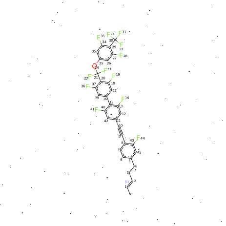 C/C=C/CCc1ccc(C#Cc2cc(F)c(-c3cc(F)c(C(F)(F)Oc4cc(F)c(C(F)(F)F)c(F)c4)c(F)c3)c(F)c2)c(F)c1